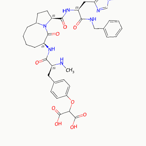 CN[C@@H](Cc1ccc(OC(C(=O)O)C(=O)O)cc1)C(=O)N[C@H]1CCCCC2CC[C@@H](C(=O)N[C@@H](Cc3c[nH]cn3)C(=O)NCc3ccccc3)N2C1=O